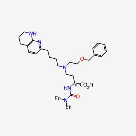 CCN(CC)C(=O)N[C@@H](CCN(CCCCc1ccc2c(n1)NCCC2)CCOCc1ccccc1)C(=O)O